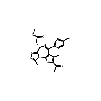 COC(=O)C[C@@H]1N=C(c2ccc(Cl)cc2)c2c(sc(C(C)=O)c2C)-n2c(C)nnc21